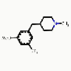 COc1cc(CC2CCN(C)CC2)cc(C(F)(F)F)c1